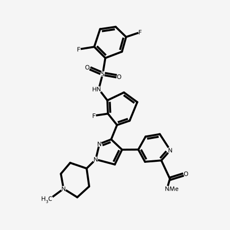 CNC(=O)c1cc(-c2cn(C3CCN(C)CC3)nc2-c2cccc(NS(=O)(=O)c3cc(F)ccc3F)c2F)ccn1